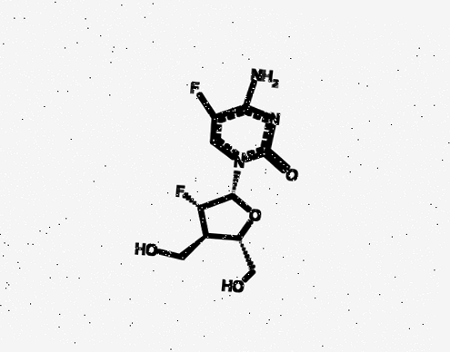 Nc1nc(=O)n([C@@H]2O[C@H](CO)[C@@H](CO)[C@@H]2F)cc1F